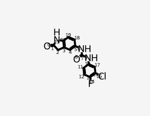 O=C1Cc2cc(NC(=O)Nc3ccc(F)c(Cl)c3)ccc2N1